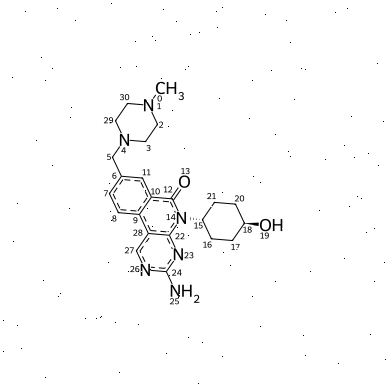 CN1CCN(Cc2ccc3c(c2)c(=O)n([C@H]2CC[C@H](O)CC2)c2nc(N)ncc32)CC1